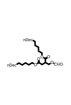 CCCCCCCCCCCCCCCOC(=O)CC(CO[C]=O)C(=O)OCCCCCCCCCCCCCCC